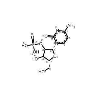 Nc1ccn([C@@H]2O[C@H](CO)C(O)C2OP(=O)(O)O)c(=O)n1